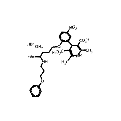 Br.CCCCC(CCCOc1ccc([N+](=O)[O-])cc1C1C(C(=O)O)=C(C)NC(C)=C1C(=O)O)NCCCOc1ccccc1.O